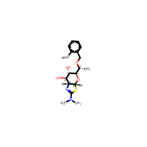 COc1ccccc1CO[C@H](C)[C@H]1O[C@@H]2SC(N(C)C)=N[C@@H]2[C@@H](O)[C@@H]1O